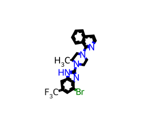 C[C@H]1CN(c2nccc3ccccc23)CCN1c1nc2c(Br)cc(C(F)(F)F)cc2[nH]1